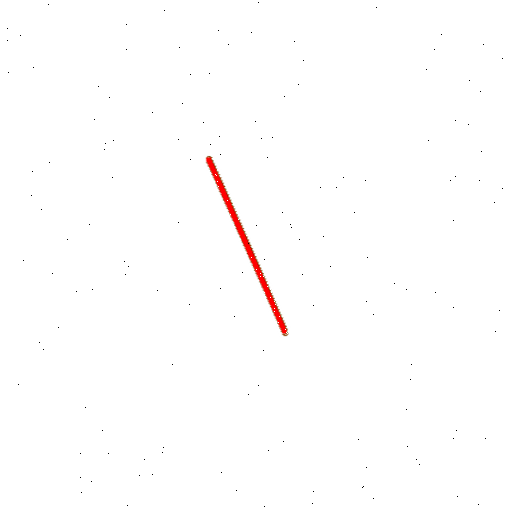 S=S=S=S=S=S=S=S=S=S=S=S=S=S=S=S=S=S=S=S=S=S=S=S=S=S=S=S=S=S=S=S=S=S=S=S=S=S=S=S=S=S=S=S=S=S=S=S=S=S=S=S=S=S=S=S=S=S=S=S=S=S=S=S=S=S=S=S=S=S=S=S=S=S=S=S=S=S=S=S=S=S=S=S=S=S=S=S=S=S=S=S=S=S=S=S=S=S=S=S=S=S=S=S=S=S=S=S=S=S=S=S=S=S=S=S=S=S=S=S=S=S=S=S